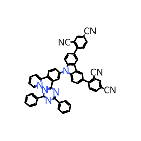 N#Cc1ccc(-c2ccc3c(c2)c2cc(-c4ccc(C#N)cc4C#N)ccc2n3-c2ccc(-c3ccccn3)c(-c3nc(-c4ccccc4)nc(-c4ccccc4)n3)c2)c(C#N)c1